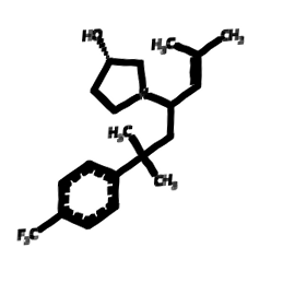 CC(C)=CC(CC(C)(C)c1ccc(C(F)(F)F)cc1)N1CC[C@H](O)C1